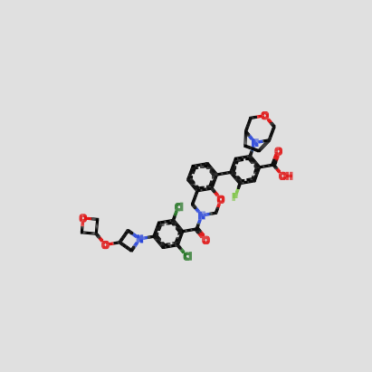 O=C(O)c1cc(F)c(-c2cccc3c2OCN(C(=O)c2c(Cl)cc(N4CC(OC5COC5)C4)cc2Cl)C3)cc1N1C2CCC1COC2